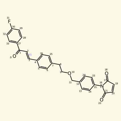 O=C(/C=C/c1ccc(CCOCc2ccc(N3C(=O)C=CC3=O)cc2)cc1)c1ccc(F)cc1